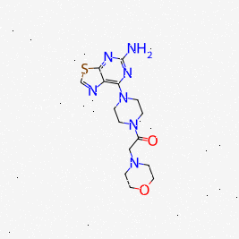 Nc1nc(N2CCN(C(=O)CN3CCOCC3)CC2)c2ncsc2n1